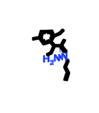 C=CCCN(N)/C=C(/C)C(CC)c1cc(C)ccc1CC